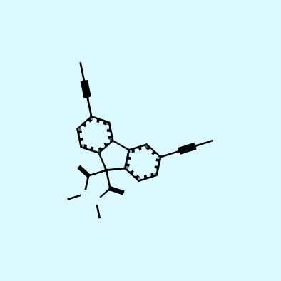 CC#Cc1ccc2c(c1)-c1cc(C#CC)ccc1C2(C(=O)OC)C(=O)OC